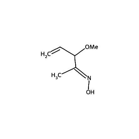 C=CC(OC)C(C)=NO